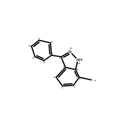 Ic1cccc2c(-c3ccccc3)n[nH]c12